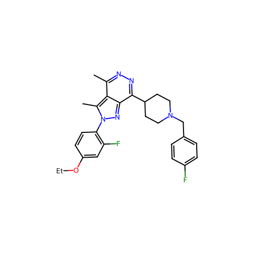 CCOc1ccc(-n2nc3c(C4CCN(Cc5ccc(F)cc5)CC4)nnc(C)c3c2C)c(F)c1